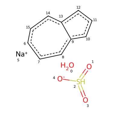 O.O=[SH](=O)[O-].[Na+].c1ccc2cccc-2cc1